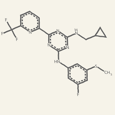 CSc1cc(F)cc(Nc2nc(NCC3CC3)nc(-c3cccc(C(F)(F)F)n3)n2)c1